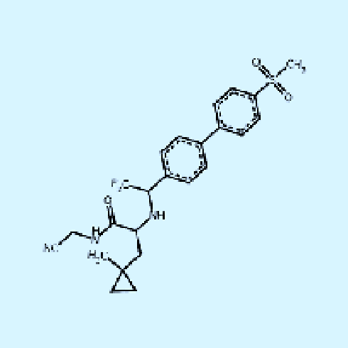 CC1(C[C@H](NC(c2ccc(-c3ccc(S(C)(=O)=O)cc3)cc2)C(F)(F)F)C(=O)NCC#N)CC1